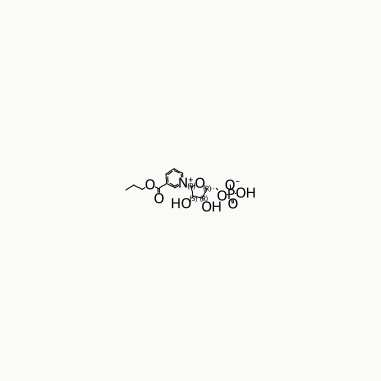 CCCOC(=O)c1ccc[n+]([C@@H]2O[C@H](COP(=O)([O-])O)[C@H](O)[C@@H]2O)c1